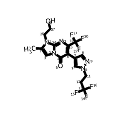 Cc1cn2c(=O)c(-c3cnn(CCC(F)(F)F)c3)c(C(F)(F)F)nc2n1CCO